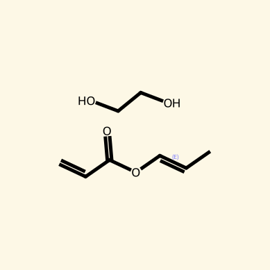 C=CC(=O)O/C=C/C.OCCO